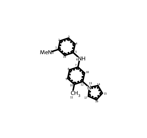 CNc1cccc(Nc2ccc(C)c(-n3cccc3)c2)c1